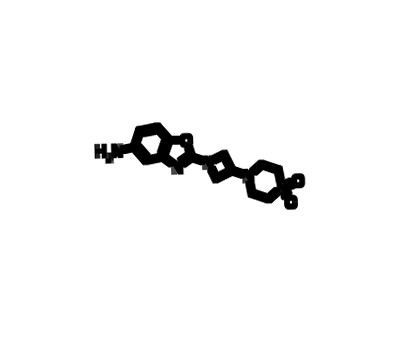 Nc1ccc2oc(N3CC(N4CCS(=O)(=O)CC4)C3)nc2c1